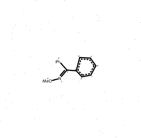 CON=C(c1cc[c]cc1)C(C)C